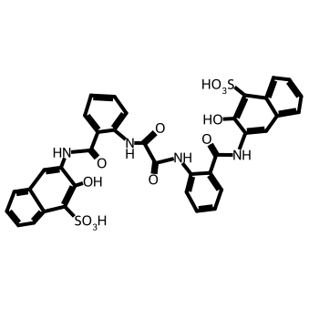 O=C(Nc1ccccc1C(=O)Nc1cc2ccccc2c(S(=O)(=O)O)c1O)C(=O)Nc1ccccc1C(=O)Nc1cc2ccccc2c(S(=O)(=O)O)c1O